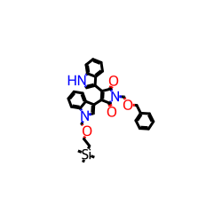 C[Si](C)(C)CCOCn1cc(C2=C(c3c[nH]c4ccccc34)C(=O)N(COCc3ccccc3)C2=O)c2ccccc21